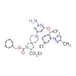 CCOC(=O)C1CC2(CCN(c3cc(O[C@H](c4ccc(CC)cc4-n4ccc(C)n4)C(F)(F)F)nc(N)n3)CC2)CN1C(=O)OCc1ccccc1